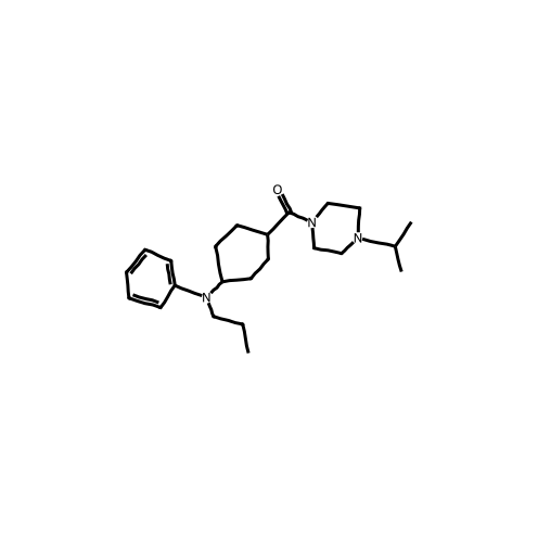 CCCN(c1ccccc1)C1CCC(C(=O)N2CCN(C(C)C)CC2)CC1